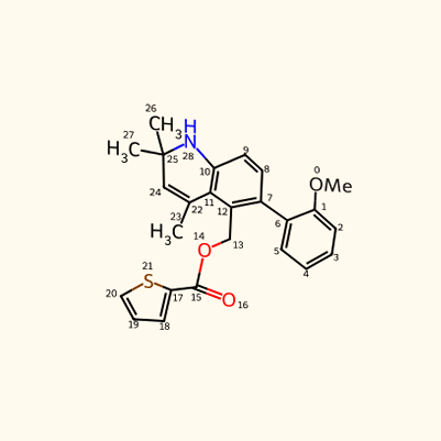 COc1ccccc1-c1ccc2c(c1COC(=O)c1cccs1)C(C)=CC(C)(C)N2